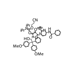 CCCO[C@@H]1[C@H](OP(OCCC#N)N(C(C)C)C(C)C)[C@@H](C(O)C(c2ccccc2)(c2ccc(OC)cc2)c2ccc(OC)cc2)O[C@H]1n1ccc(NC(=O)c2ccccc2)nc1=O